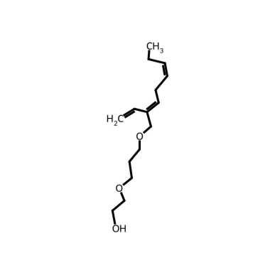 C=C/C(=C\C/C=C\CC)COCCCOCCO